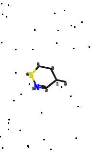 CC1C=NSCC1